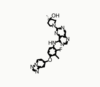 Cc1c(Oc2ccn3ncnc3c2)ccc(Nc2ncnc3cnc(N4CC[C@@](C)(O)C4)nc23)c1F